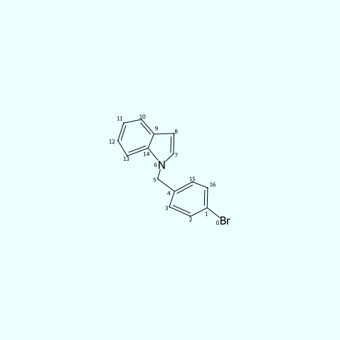 Brc1ccc(Cn2ccc3ccccc32)cc1